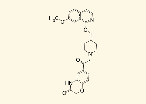 COc1ccc2ccnc(OCC3CCN(CC(=O)c4ccc5c(c4)NC(=O)CO5)CC3)c2c1